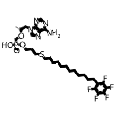 C[C@H](Cn1cnc2c(N)ncnc21)OCP(=O)(O)OCCCSCCCCCCCCCCCCc1c(F)c(F)c(F)c(F)c1F